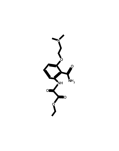 CCOC(=O)C(=O)Nc1cccc(OCCN(C)C)c1C(N)=O